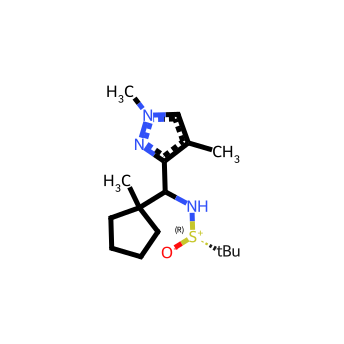 Cc1cn(C)nc1C(N[S@@+]([O-])C(C)(C)C)C1(C)CCCC1